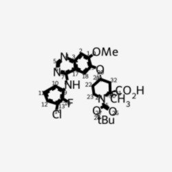 COc1cc2ncnc(Nc3cccc(Cl)c3F)c2cc1O[C@H]1CCN(C(=O)OC(C)(C)C)[C@](C)(C(=O)O)C1